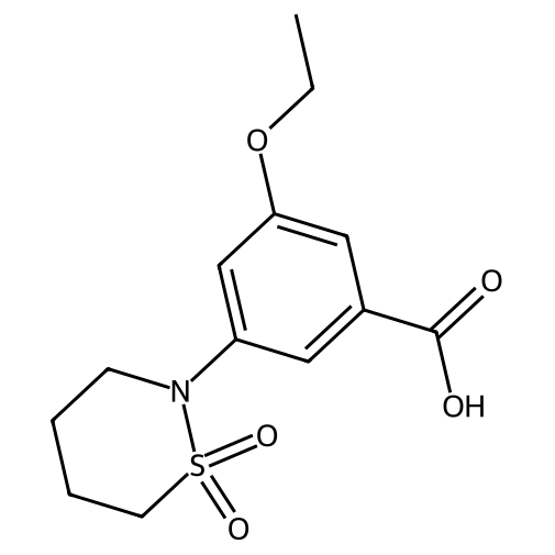 CCOc1cc(C(=O)O)cc(N2CCCCS2(=O)=O)c1